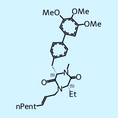 CCCCCC=CCN1C(=O)[C@H](Cc2ccc(-c3cc(OC)c(OC)c(OC)c3)cc2)N(C)C(=O)[C@@H]1CC